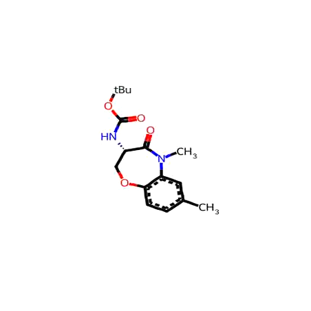 Cc1ccc2c(c1)N(C)C(=O)[C@@H](NC(=O)OC(C)(C)C)CO2